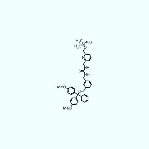 COc1ccc(C(OCc2cccc(CNC(=S)NCc3cccc(CO[Si](C)(C)C(C)(C)C)n3)c2)(c2ccccc2)c2ccc(OC)cc2)cc1